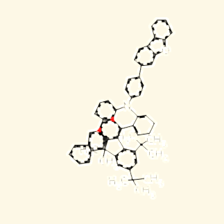 CC(C)(C)c1cc(C(C)(C)C)c2c(c1)C(C)(C)c1cccc(C3=CCCC=C3N(c3ccc(-c4ccc5c(c4)oc4ccccc45)cc3)c3cccc(-c4ccc5ccccc5c4)c3)c1-2